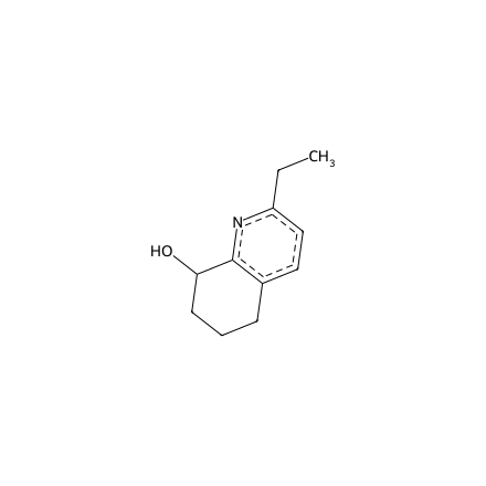 CCc1ccc2c(n1)C(O)CCC2